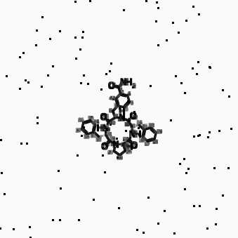 NC(=O)c1cccc(C[C@H]2NC(=O)[C@H](Cc3ccccc3)NC(=O)[C@H]3CCCN3C(=O)[C@H](Cc3ccccc3)NC2=O)c1